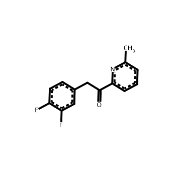 Cc1cccc(C(=O)Cc2ccc(F)c(F)c2)n1